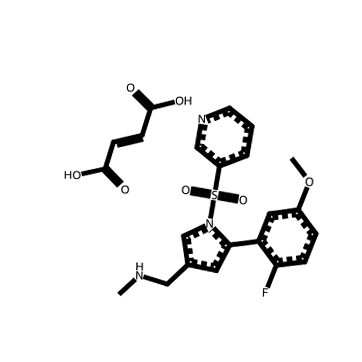 CNCc1cc(-c2cc(OC)ccc2F)n(S(=O)(=O)c2cccnc2)c1.O=C(O)/C=C/C(=O)O